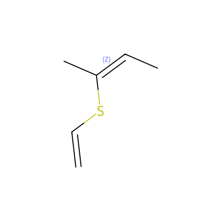 C=CS/C(C)=C\C